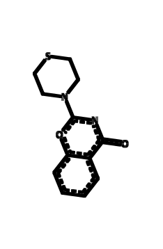 O=c1nc(N2CCSCC2)oc2ccccc12